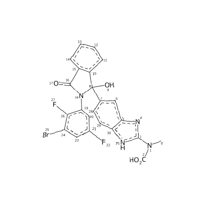 CN(C(=O)O)c1nc2cc(C3(O)c4ccccc4C(=O)N3c3cc(F)cc(Br)c3F)ccc2[nH]1